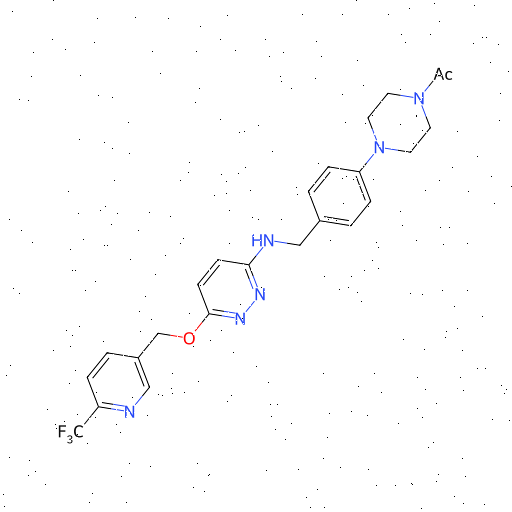 CC(=O)N1CCN(c2ccc(CNc3ccc(OCc4ccc(C(F)(F)F)nc4)nn3)cc2)CC1